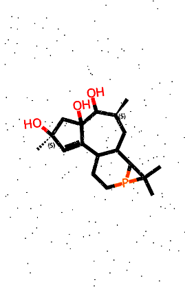 C[C@H]1CC2C(CCP3C2C3(C)C)C2=C[C@@](C)(O)CC2(O)C1O